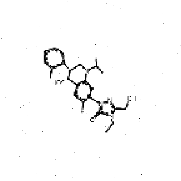 CCn1c(CO)nn(-c2cc3c(cc2F)[C@H](O)[C@@H](c2ccccc2C)CN3C(C)C)c1=O